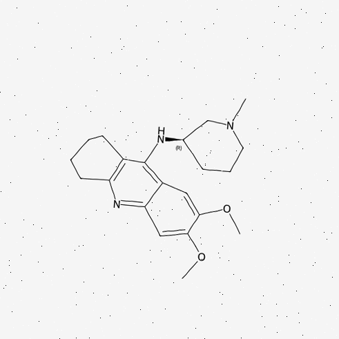 COc1cc2nc3c(c(N[C@@H]4CCCN(C)C4)c2cc1OC)CCCC3